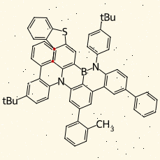 Cc1ccccc1-c1cc2c3c(c1)N(c1ccc(C(C)(C)C)cc1-c1ccccc1)c1cc4c(cc1B3N(c1ccc(C(C)(C)C)cc1)c1ccc(-c3ccccc3)cc1-2)sc1ccccc14